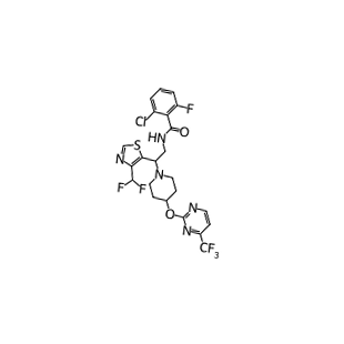 O=C(NCC(c1scnc1C(F)F)N1CCC(Oc2nccc(C(F)(F)F)n2)CC1)c1c(F)cccc1Cl